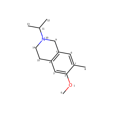 COc1cc2c(cc1C)CN(C(C)C)CC2